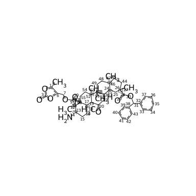 Cc1oc(=O)oc1COC(=O)[C@]1(C)[C@@H](N)CC[C@]2(C)C3C(=O)C=C4[C@@H]5C[C@@](C)(C(=O)OC(c6ccccc6)c6ccccc6)CC[C@]5(C)CC[C@@]4(C)[C@]3(C)CC[C@@H]12